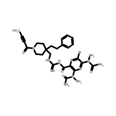 N=C(NCC1(CCc2ccccc2)CCN(C(=O)C#CC(=O)O)CC1)NC(=O)c1nc(Br)c(N(N)C(N)=O)nc1N(N)C(N)=O